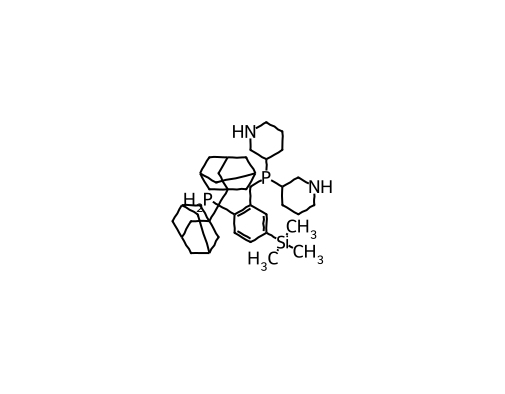 C[Si](C)(C)c1ccc(C(P)(C23CC4CC(CC(C4)C2)C3)C23CC4CC(CC(C4)C2)C3)c(CP(C2CCCNC2)C2CCCNC2)c1